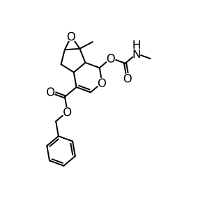 CNC(=O)OC1OC=C(C(=O)OCc2ccccc2)C2CC3OC3(C)C12